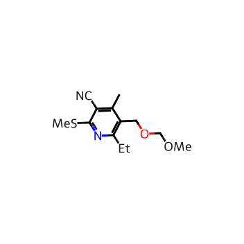 CCc1nc(SC)c(C#N)c(C)c1COCOC